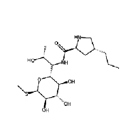 CCC[C@H]1CN[C@H](C(=O)NC([C@H]2O[C@H](SC)[C@H](O)[C@@H](O)[C@@H]2O)[C@@H](C)O)C1